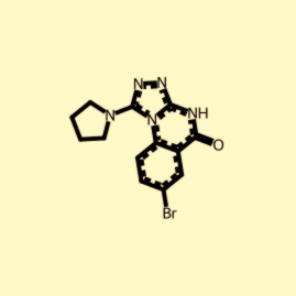 O=c1[nH]c2nnc(N3CCCC3)n2c2ccc(Br)cc12